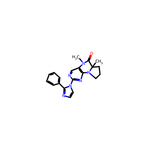 CN1C(=O)C2(C)CCCN2c2nc(-n3ccnc3-c3ccccc3)ncc21